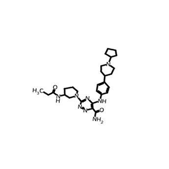 CCC(=O)NC1CCCN(c2nnc(C(N)=O)c(Nc3ccc(C4CCN(C5CCCC5)CC4)cc3)n2)C1